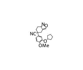 COc1ccc(C2(C#N)CCc3nocc3C2)cc1OC1CCCC1